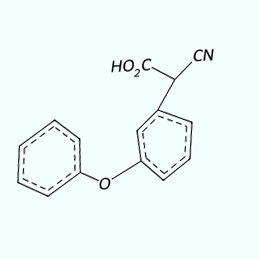 N#CC(C(=O)O)c1cccc(Oc2ccccc2)c1